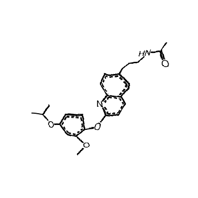 COc1cc(OC(C)C)ccc1Oc1ccc2cc(CCNC(C)=O)ccc2n1